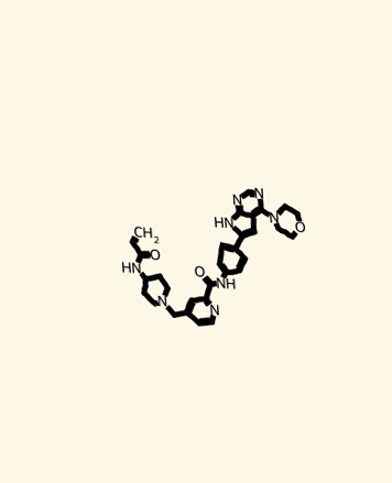 C=CC(=O)NC1CCN(Cc2ccnc(C(=O)Nc3ccc(-c4cc5c(N6CCOCC6)ncnc5[nH]4)cc3)c2)CC1